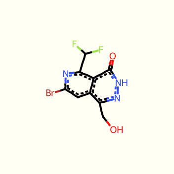 O=c1[nH]nc(CO)c2cc(Br)nc(C(F)F)c12